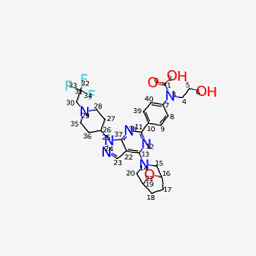 O=C(O)N(CCO)c1ccc(-c2nc(N3CC4CCC(C3)O4)c3cnn(C4CCN(CC(F)(F)F)CC4)c3n2)cc1